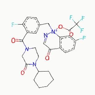 O=C1C=N[N+](Cc2ccc(F)c(C(=O)N3CCN(C4CCCCC4)C(=O)C3)c2)(OC(=O)C(F)(F)F)c2cc(F)ccc21